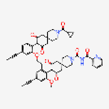 CC#Cc1cc(C)c(C2C(=O)CC3(CCN(C(=O)C4CC4)CC3)CC2=O)c(OCCc2cc(C#CC)cc(OC)c2C2C(=O)CC3(CCN(C(=O)NC(=O)c4ccccn4)CC3)CC2=O)c1